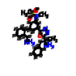 CN(c1cc(-c2nnc([C@](C)(N)Cc3ccccc3)o2)cc(-c2ccccc2CN)c1)S(C)(=O)=O